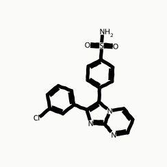 NS(=O)(=O)c1ccc(-c2c(-c3cccc(Cl)c3)nc3ncccn23)cc1